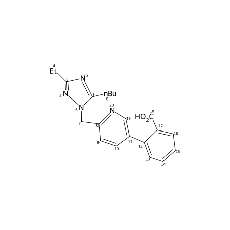 CCCCc1nc(CC)nn1Cc1ccc(-c2ccccc2C(=O)O)cn1